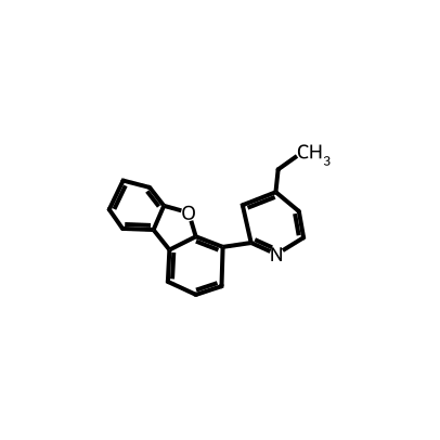 CCc1ccnc(-c2cccc3c2oc2ccccc23)c1